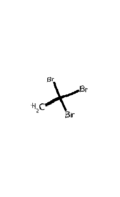 [CH2]C(Br)(Br)Br